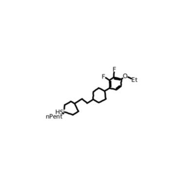 CCCCC[SiH]1CCC(CCC2CCC(c3ccc(OCC)c(F)c3F)CC2)CC1